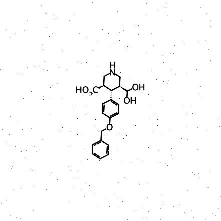 O=C(O)[C@H]1CNC[C@@H](C(O)O)[C@@H]1c1ccc(OCc2ccccc2)cc1